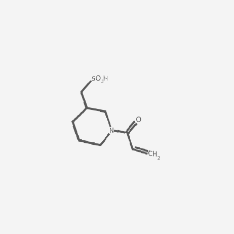 C=CC(=O)N1CCCC(CS(=O)(=O)O)C1